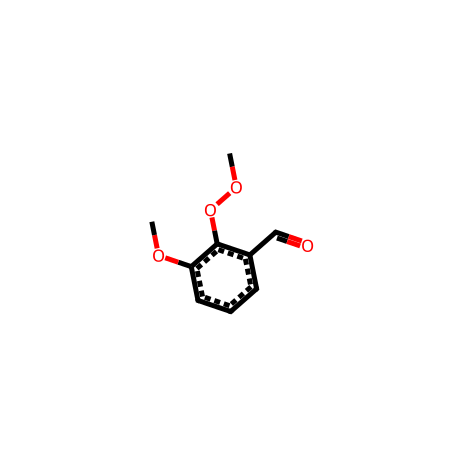 COOc1c(C=O)cccc1OC